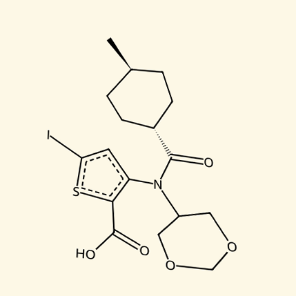 C[C@H]1CC[C@H](C(=O)N(c2cc(I)sc2C(=O)O)C2COCOC2)CC1